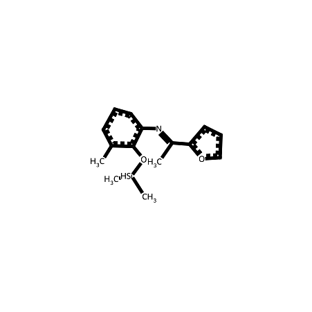 CC(=Nc1cccc(C)c1O[SiH](C)C)c1ccco1